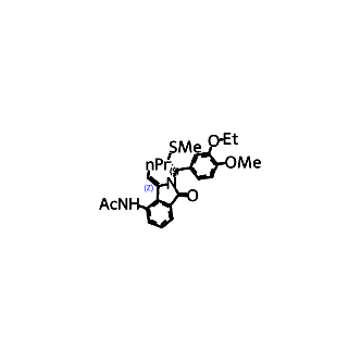 CCC/C=C1/c2c(NC(C)=O)cccc2C(=O)N1[C@H](CSC)c1ccc(OC)c(OCC)c1